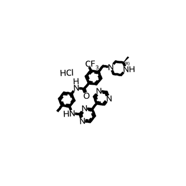 Cc1ccc(NC(=O)c2ccc(CN3CCN[C@H](C)C3)c(C(F)(F)F)c2)cc1Nc1nccc(-c2cncnc2)n1.Cl